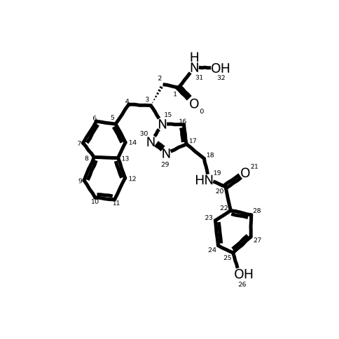 O=C(C[C@@H](Cc1ccc2ccccc2c1)n1cc(CNC(=O)c2ccc(O)cc2)nn1)NO